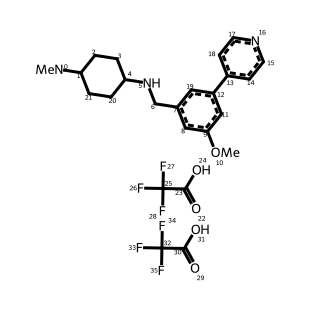 CNC1CCC(NCc2cc(OC)cc(-c3ccncc3)c2)CC1.O=C(O)C(F)(F)F.O=C(O)C(F)(F)F